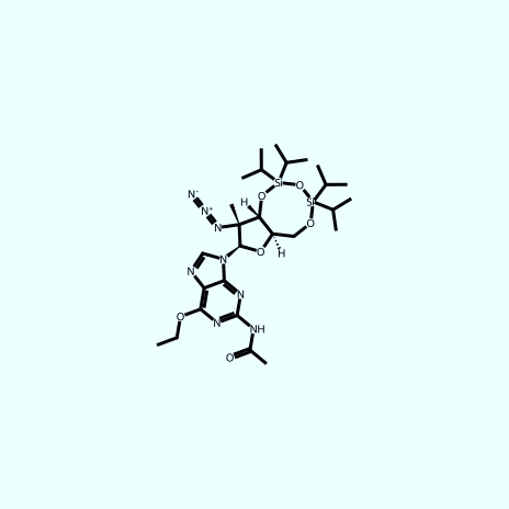 CCOc1nc(NC(C)=O)nc2c1ncn2[C@@H]1O[C@@H]2CO[Si](C(C)C)(C(C)C)O[Si](C(C)C)(C(C)C)O[C@H]2[C@@]1(C)N=[N+]=[N-]